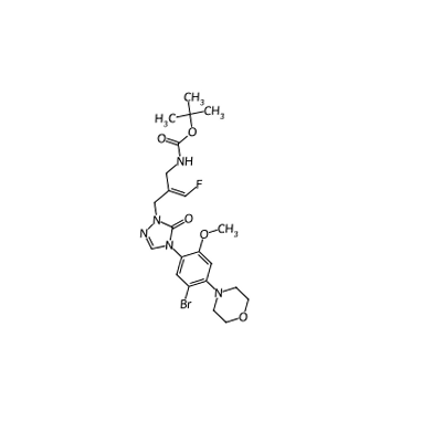 COc1cc(N2CCOCC2)c(Br)cc1-n1cnn(CC(=CF)CNC(=O)OC(C)(C)C)c1=O